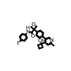 Cc1cc(C2(O)CCC2)c(-c2ccc(C3(C(=O)Nc4ccc(F)cc4)COC3)cc2)cn1